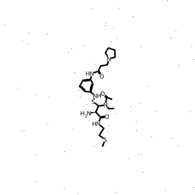 CCN(C(C)=O)C(SNc1cccc(NC(=O)CCN2CCCC2)c1)[C@H](N)C(=O)NCCSC